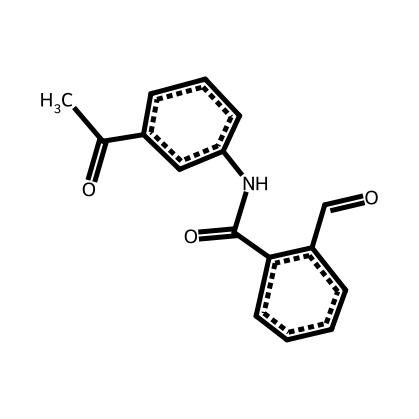 CC(=O)c1cccc(NC(=O)c2ccccc2C=O)c1